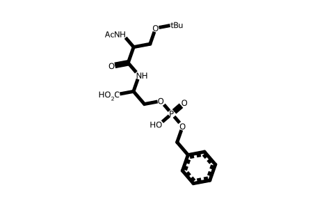 CC(=O)NC(COC(C)(C)C)C(=O)NC(COP(=O)(O)OCc1ccccc1)C(=O)O